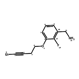 CCC#CCCOc1cccc(CN)c1F